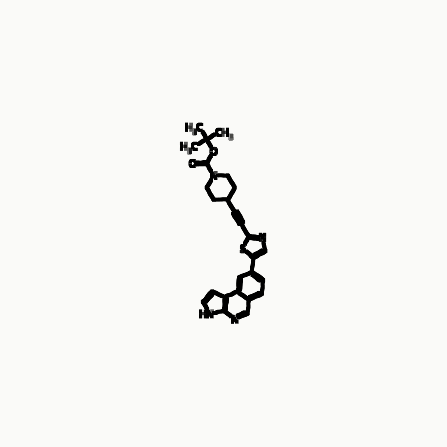 CC(C)(C)OC(=O)N1CCC(C#Cc2ncc(-c3ccc4cnc5[nH]ccc5c4c3)s2)CC1